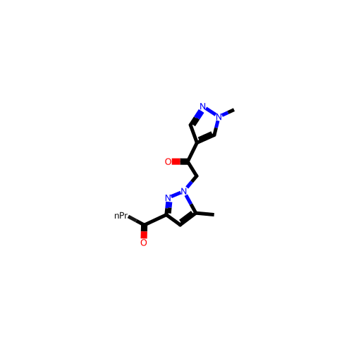 CCCC(=O)c1cc(C)n(CC(=O)c2cnn(C)c2)n1